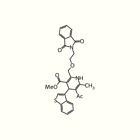 COC(=O)C1=C(COCCN2C(=O)c3ccccc3C2=O)NC(C)=C(C(C)=O)C1c1csc2ccccc12